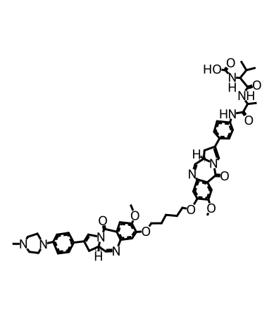 COc1cc2c(cc1OCCCCCOc1cc3c(cc1OC)C(=O)N1C=C(c4ccc(N5CCN(C)CC5)cc4)C[C@H]1C=N3)N=C[C@@H]1CC(c3ccc(NC(=O)C(C)NC(=O)C(NC(=O)O)C(C)C)cc3)=CN1C2=O